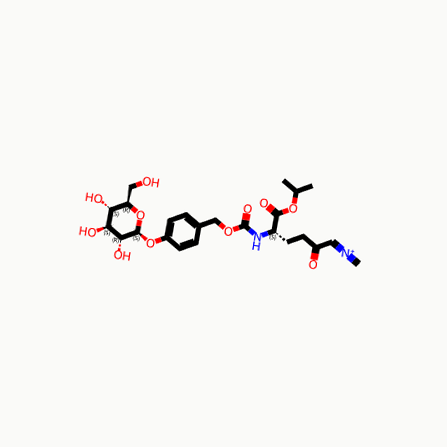 C=[N+]=CC(=O)CC[C@H](NC(=O)OCc1ccc(O[C@@H]2O[C@H](CO)[C@@H](O)[C@H](O)[C@H]2O)cc1)C(=O)OC(C)C